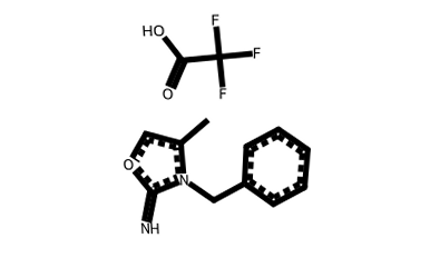 Cc1coc(=N)n1Cc1ccccc1.O=C(O)C(F)(F)F